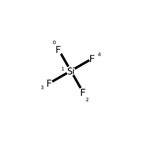 F[Si](F)(F)F